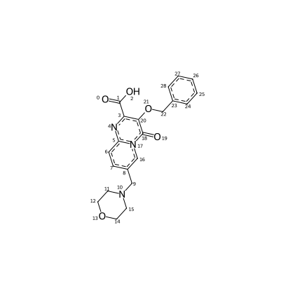 O=C(O)c1nc2ccc(CN3CCOCC3)cn2c(=O)c1OCc1ccccc1